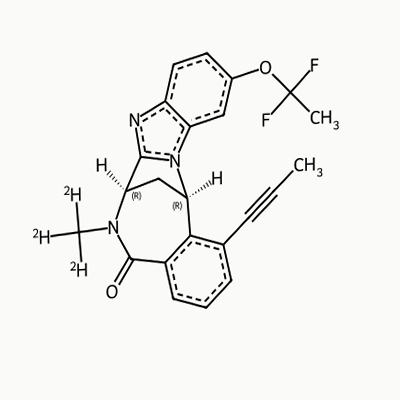 [2H]C([2H])([2H])N1C(=O)c2cccc(C#CC)c2[C@H]2C[C@@H]1c1nc3ccc(OC(C)(F)F)cc3n12